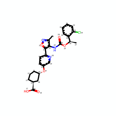 Cc1noc(-c2ccc(O[C@H]3CCC[C@H](C(=O)O)C3)cn2)c1NC(=O)O[C@H](C)c1ccccc1Cl